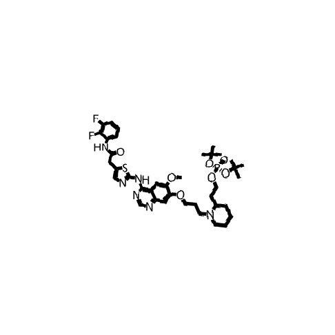 COc1cc2c(Nc3ncc(CC(=O)Nc4cccc(F)c4F)s3)ncnc2cc1OCCCN1CCCCC1CCOP(=O)(OC(C)(C)C)OC(C)(C)C